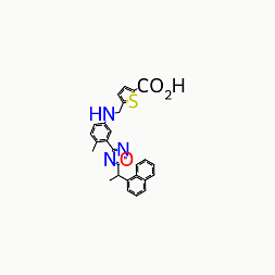 Cc1ccc(NCc2ccc(C(=O)O)s2)cc1-c1noc(C(C)c2cccc3ccccc23)n1